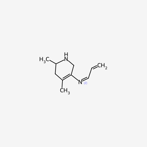 C=C/C=N\C1=C(C)CC(C)NC1